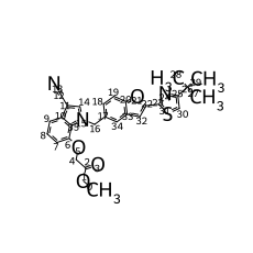 COC(=O)COc1cccc2c(C#N)cn(Cc3ccc4oc(-c5nc(C(C)(C)C)cs5)cc4c3)c12